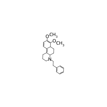 COC1=C(OC)C2CCC3C(=C2C=C1)CCCN3CCc1ccccc1